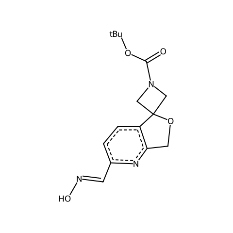 CC(C)(C)OC(=O)N1CC2(C1)OCc1nc(C=NO)ccc12